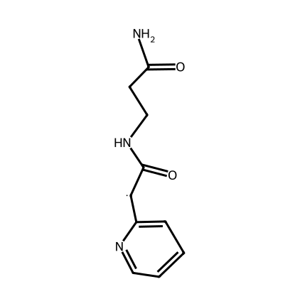 NC(=O)CCNC(=O)[CH]c1ccccn1